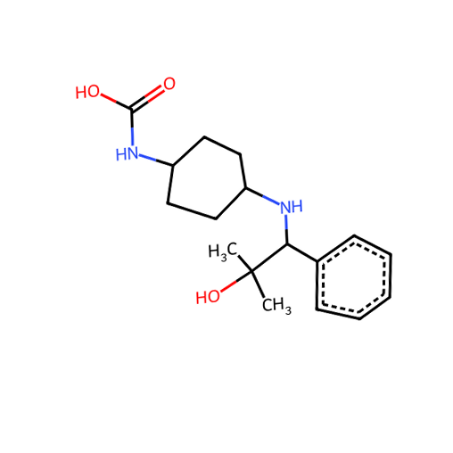 CC(C)(O)C(NC1CCC(NC(=O)O)CC1)c1ccccc1